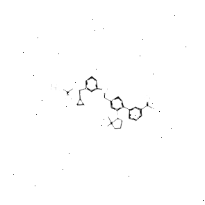 CC(=O)c1cccc(-c2ccc(COc3cccc([C@@H](CC(=O)O)C4CC4)c3)cc2[C@H]2CCCC2(C)C)c1